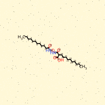 CCCCCCCCCCCC(=O)NONC(=O)C(CCCCCCCCCC)C(=O)O